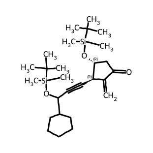 C=C1C(=O)C[C@@H](O[Si](C)(C)C(C)(C)C)[C@@H]1C#CC(O[Si](C)(C)C(C)(C)C)C1CCCCC1